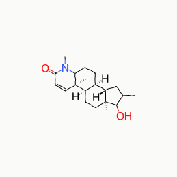 CC1C[C@H]2[C@@H]3CCC4N(C)C(=O)C=C[C@]4(C)[C@@H]3CC[C@]2(C)C1O